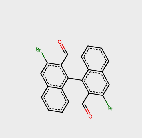 O=Cc1c(Br)cc2ccccc2c1-c1c(C=O)c(Br)cc2ccccc12